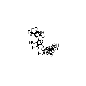 O=c1[nH]c(=O)n([C@@H]2O[C@H](COP(=O)(O)OP(=O)(O)OP(=O)(O)O)C(O)C2O)cc1C(F)(F)F